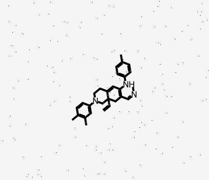 C=CC12CC(/C=N\C)=C(Nc3ccc(C)cc3)C=C1CCN(c1ccc(C)c(C)c1)C2